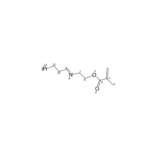 C=C(C)C(=O)OCC/N=C/CCC(C)C